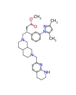 COC(=O)C[C@H](CN1CCC2CCN(Cc3ccc4c(n3)NCCC4)CC2C1)c1cccc(-n2nc(C)cc2C)c1